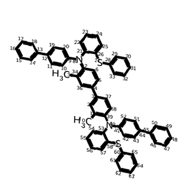 Cc1cc(-c2ccc(N(c3ccc(-c4ccccc4)cc3)c3ccccc3Sc3ccccc3)c(C)c2)ccc1N(c1ccc(-c2ccccc2)cc1)c1ccccc1Sc1ccccc1